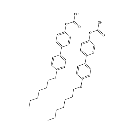 CCCCCCCSc1ccc(-c2ccc(OC(=O)O)cc2)cc1.CCCCCCSc1ccc(-c2ccc(OC(=O)O)cc2)cc1